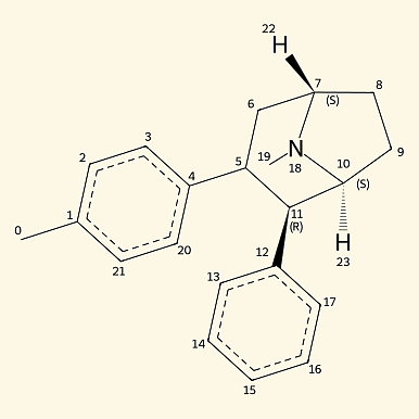 Cc1ccc(C2C[C@@H]3CC[C@@H]([C@H]2c2ccccc2)N3C)cc1